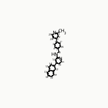 Cc1cc(-c2ccc(CNc3cc(-c4ccc5ccccc5c4)ccn3)cc2)ccn1